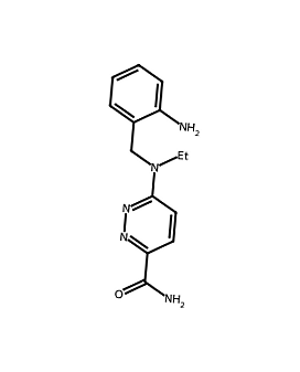 CCN(Cc1ccccc1N)c1ccc(C(N)=O)nn1